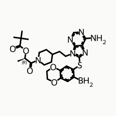 Bc1cc2c(cc1Sc1nc3c(N)ncnc3n1CCC1CCN(C(=O)[C@@H](C)OC(=O)C(C)(C)C)CC1)OCCO2